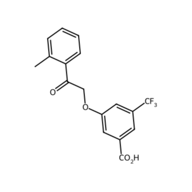 Cc1ccccc1C(=O)COc1cc(C(=O)O)cc(C(F)(F)F)c1